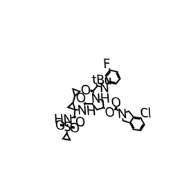 CC(C)(C)C(Nc1cccc(F)c1)C(=O)N1CC(OC(=O)N2Cc3cccc(Cl)c3C2)CC1C(=O)NC1(C(=O)NS(=O)(=O)C2CC2)CC1C1CC1